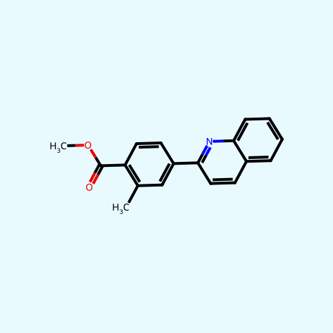 COC(=O)c1ccc(-c2ccc3ccccc3n2)cc1C